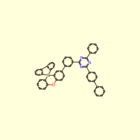 c1ccc(-c2ccc(-c3nc(-c4ccccc4)nc(-c4cccc(-c5ccc6c(c5)[Si]5(c7ccccc7O6)c6ccccc6-c6ccccc65)c4)n3)cc2)cc1